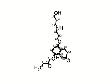 CCC(=O)COc1ccc(OCCCNCCCO)c2c1NC(=O)CC2